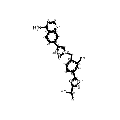 Nc1ncnc2cc(-c3cn(Cc4ccc(-c5nnc(C(F)F)o5)cc4F)nn3)ccc12